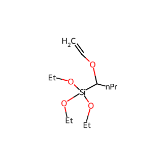 C=COC(CCC)[Si](OCC)(OCC)OCC